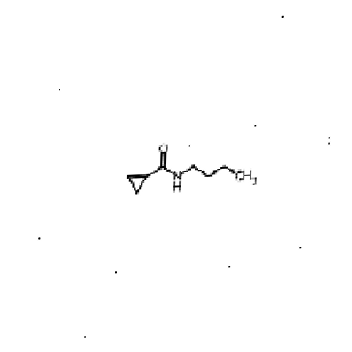 CCCCNC(=O)C1CC1